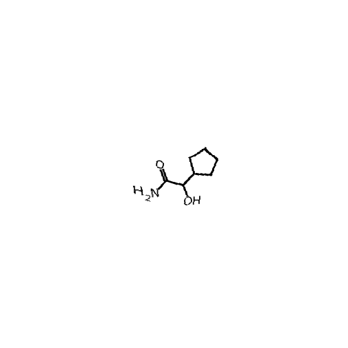 NC(=O)C(O)C1CCCC1